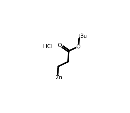 CC(C)(C)OC(=O)C[CH2][Zn].Cl